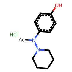 CC(=O)N(c1ccc(O)cc1)N1CCCCC1.Cl